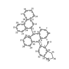 Fc1c(-c2c3ccccc3c(-c3cc4ccccc4c4ccccc34)c3ccccc23)ccc2c1CCS2